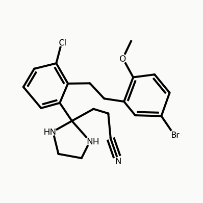 COc1ccc(Br)cc1CCc1c(Cl)cccc1C1(CCC#N)NCCN1